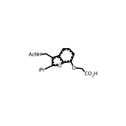 CC(=O)NCc1c(C(C)C)oc2c(OCC(=O)O)cccc12